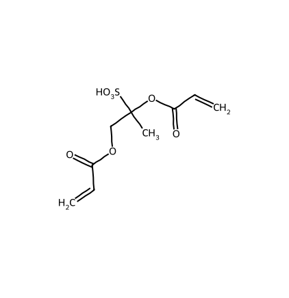 C=CC(=O)OCC(C)(OC(=O)C=C)S(=O)(=O)O